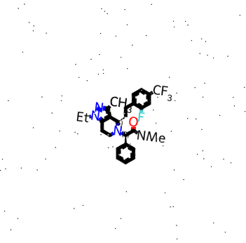 CCn1nc(C)c2c1CCN([C@@H](C(=O)NC)c1ccccc1)[C@H]2CCc1ccc(C(F)(F)F)cc1F